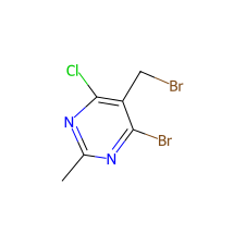 Cc1nc(Cl)c(CBr)c(Br)n1